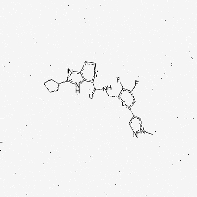 Cn1cc(-c2cc(F)c(F)c(CNC(=O)c3nccc4nc(C5CCCC5)[nH]c34)c2)cn1